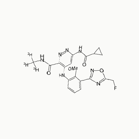 [2H]C([2H])([2H])NC(=O)c1nnc(NC(=O)C2CC2)cc1Nc1cccc(-c2noc(CF)n2)c1OC